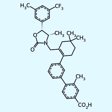 Cc1cc([C@H]2OC(=O)N(CC3=C(c4cccc(-c5ccc(C(=O)O)cc5C)c4)CCC(C)(C)C3)[C@H]2C)cc(C(F)(F)F)c1